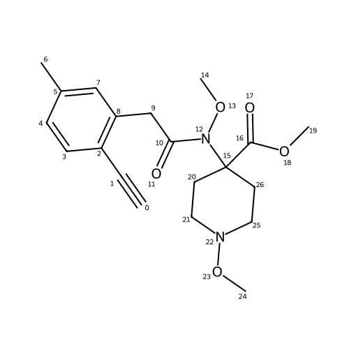 C#Cc1ccc(C)cc1CC(=O)N(OC)C1(C(=O)OC)CCN(OC)CC1